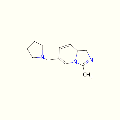 Cc1ncc2ccc(CN3CCCC3)cn12